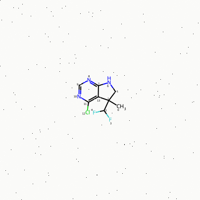 CC1(C(F)F)CNc2ncnc(Cl)c21